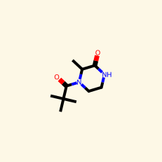 CC1C(=O)NCCN1C(=O)C(C)(C)C